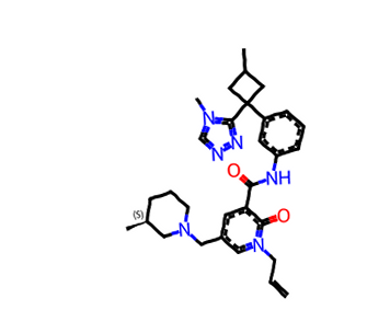 C=CCn1cc(CN2CCC[C@H](C)C2)cc(C(=O)Nc2cccc(C3(c4nncn4C)CC(C)C3)c2)c1=O